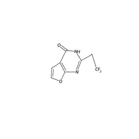 O=c1[nH]c(CC(F)(F)F)nc2occc12